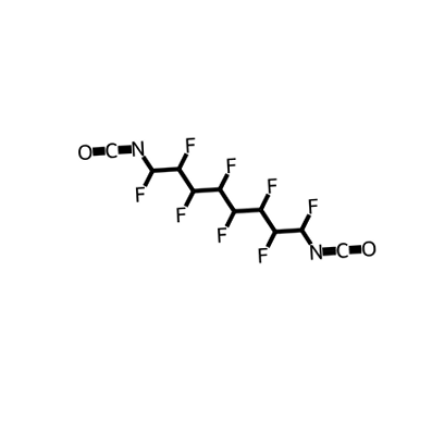 O=C=NC(F)C(F)C(F)C(F)C(F)C(F)C(F)C(F)N=C=O